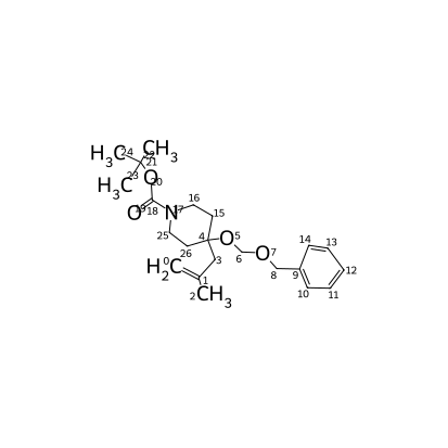 C=C(C)CC1(OCOCc2ccccc2)CCN(C(=O)OC(C)(C)C)CC1